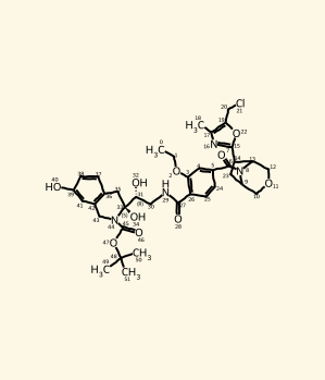 CCOc1cc(C(=O)N2C3COCC2C(c2nc(C)c(CCl)o2)C3)ccc1C(=O)NC[C@@H](O)[C@@]1(O)Cc2ccc(O)cc2CN1C(=O)OC(C)(C)C